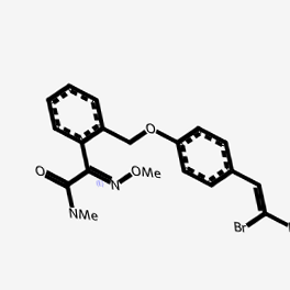 CNC(=O)/C(=N/OC)c1ccccc1COc1ccc(C=C(Br)Br)cc1